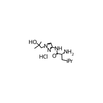 CC(C)C[C@H](N)C(=O)Nc1ccn(CC(C)(C)O)n1.Cl